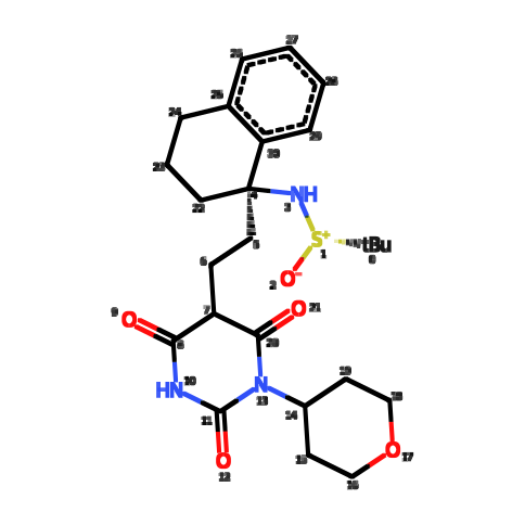 CC(C)(C)[S@+]([O-])N[C@@]1(CCC2C(=O)NC(=O)N(C3CCOCC3)C2=O)CCCc2ccccc21